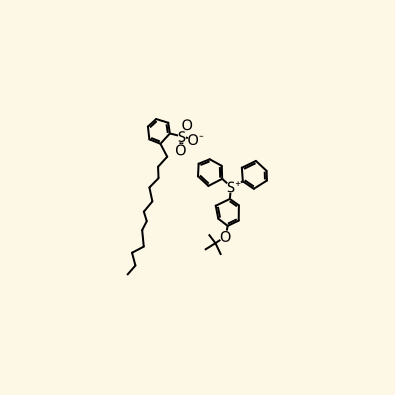 CC(C)(C)Oc1ccc([S+](c2ccccc2)c2ccccc2)cc1.CCCCCCCCCCCCc1ccccc1S(=O)(=O)[O-]